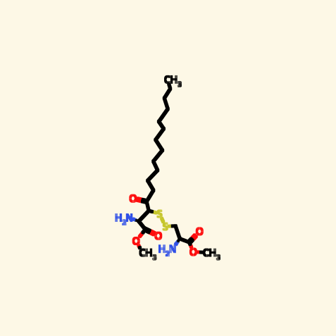 CCCCCCCCCCCCC(=O)C(SSC[C@H](N)C(=O)OC)[C@H](N)C(=O)OC